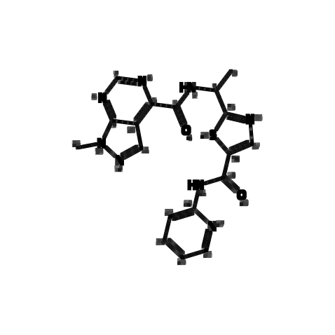 CC(NC(=O)c1ncnc2c1cnn2C)c1ncc(C(=O)Nc2ccccn2)s1